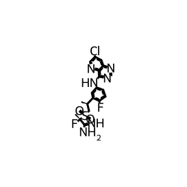 C[C@H](CS(=O)(=O)[C@@](C)(F)C(=N)N)c1cc(Nc2ncnc3cc(Cl)cnc23)ccc1F